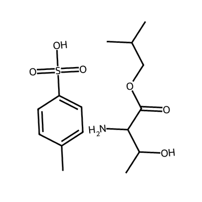 CC(C)COC(=O)C(N)C(C)O.Cc1ccc(S(=O)(=O)O)cc1